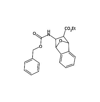 CCOC(=O)C1C2OC(c3ccccc32)C1NC(=O)OCc1ccccc1